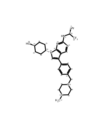 CCC[C@H](Nc1ncc2c(-c3ccc(CN4CCN(C)CC4)cc3)cn([C@H]3CC[C@H](O)CC3)c2n1)C(F)(F)F